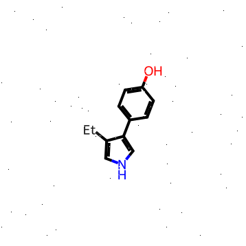 CCc1c[nH]cc1-c1ccc(O)cc1